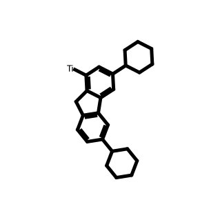 [Ti][c]1cc(C2CCCCC2)cc2c1Cc1ccc(C3CCCCC3)cc1-2